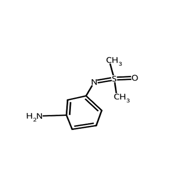 CS(C)(=O)=Nc1cccc(N)c1